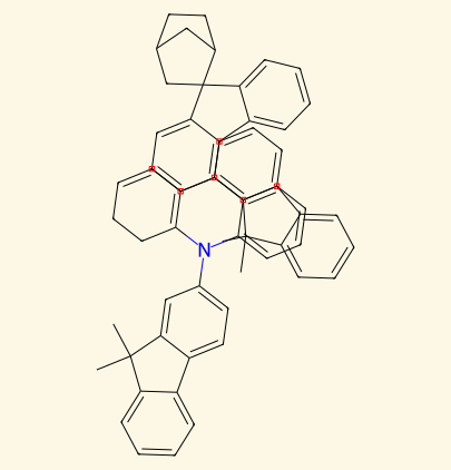 CC1(C)c2ccccc2-c2ccc(N(C3=C(c4cccc5c4C(C)(C)c4ccccc4-5)C=CCC3)c3ccccc3-c3cccc4c3-c3ccccc3C43CC4CCC3C4)cc21